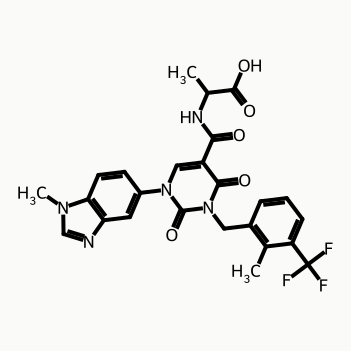 Cc1c(Cn2c(=O)c(C(=O)NC(C)C(=O)O)cn(-c3ccc4c(c3)ncn4C)c2=O)cccc1C(F)(F)F